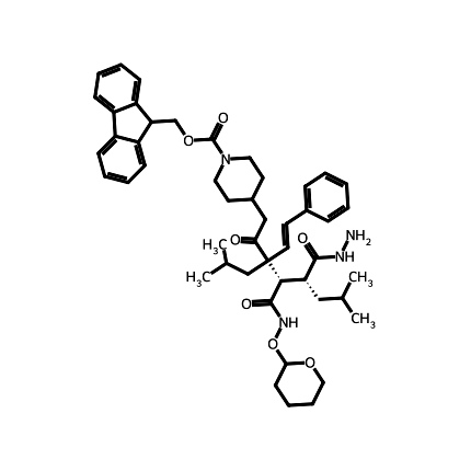 CC(C)C[C@@H](C(=O)NN)[C@H](C(=O)NOC1CCCCO1)C(/C=C/c1ccccc1)(CC(C)C)C(=O)CC1CCN(C(=O)OCC2c3ccccc3-c3ccccc32)CC1